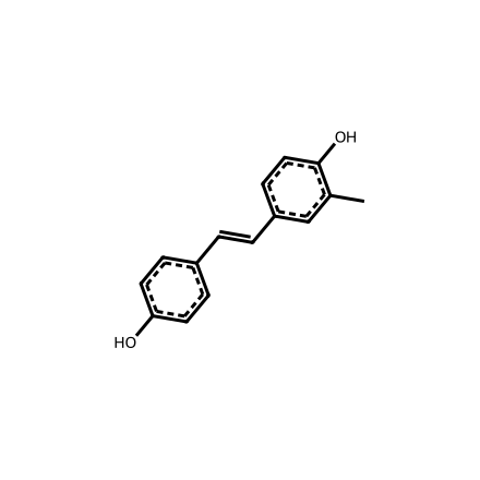 Cc1cc(C=Cc2ccc(O)cc2)ccc1O